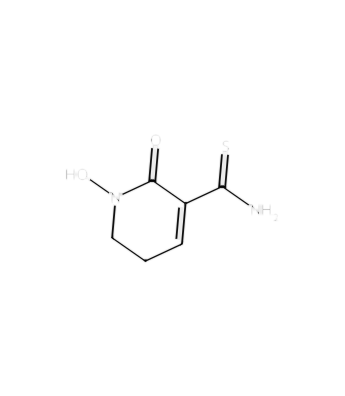 NC(=S)C1=CCCN(O)C1=O